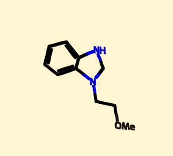 COCCN1CNc2ccccc21